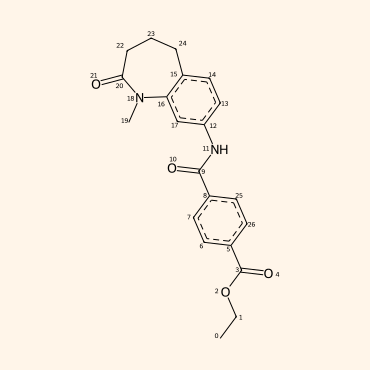 CCOC(=O)c1ccc(C(=O)Nc2ccc3c(c2)N(C)C(=O)CCC3)cc1